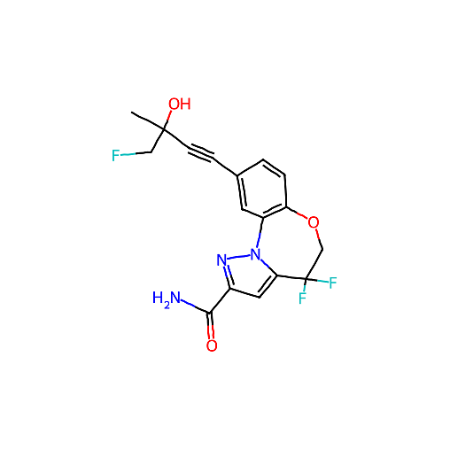 CC(O)(C#Cc1ccc2c(c1)-n1nc(C(N)=O)cc1C(F)(F)CO2)CF